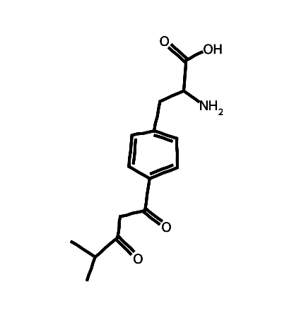 CC(C)C(=O)CC(=O)c1ccc(CC(N)C(=O)O)cc1